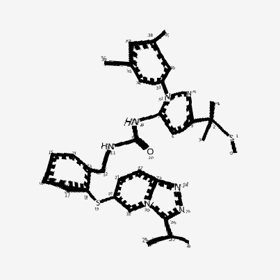 CSC(C)(C)c1cc(NC(=O)NCc2ccccc2Sc2ccc3nnc(C(C)C)n3c2)n(-c2cc(C)cc(C)c2)n1